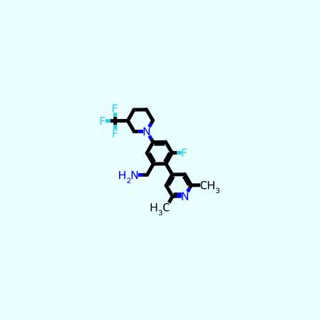 Cc1cc(-c2c(F)cc(N3CCCC(C(F)(F)F)C3)cc2CN)cc(C)n1